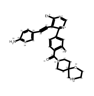 CCc1ncnc(-c2ccc(C(=O)N3CCC4(CC3)CNCCO4)c(F)c2)c1C#Cc1ccc(N)nc1